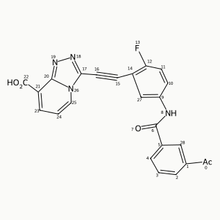 CC(=O)c1cccc(C(=O)Nc2ccc(F)c(C#Cc3nnc4c(C(=O)O)cccn34)c2)c1